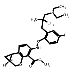 CCN(CC)CC(C)(C)Cc1cc(F)ccc1SNc1ccc2c(c1C(=O)OC)OC[C@@H]1CC21